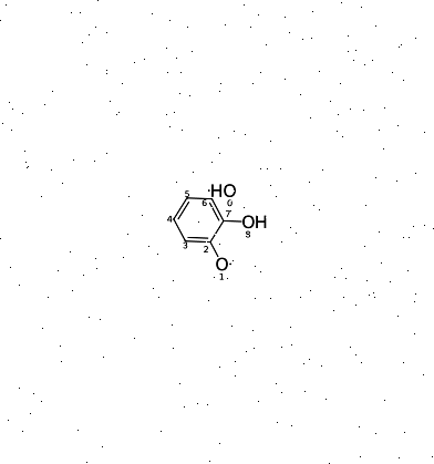 [OH].[O]c1ccccc1O